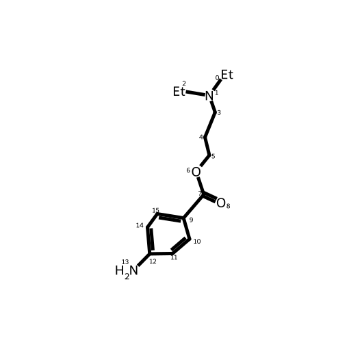 CCN(CC)CCCOC(=O)c1ccc(N)cc1